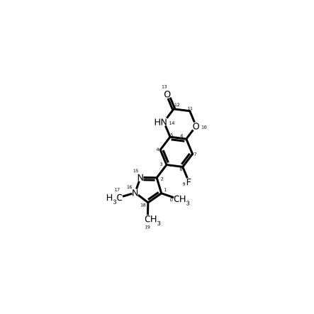 Cc1c(-c2cc3c(cc2F)OCC(=O)N3)nn(C)c1C